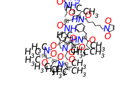 CC[C@H](C)[C@@H](C(CC(=O)N1CCC[C@H]1[C@H](OC)[C@@H](C)C(=O)N[C@@H](Cc1ccccc1)C(=O)CC(C)(C)C)OC)N(C)C(=O)[C@@H](CC(=O)[C@H](C(C)C)N(C)C(=O)OCc1ccc(NC(=O)[C@H](CCCNC(N)=O)CC(=O)[C@@H](NC(=O)CCCCCN2C(=O)C=CC2=O)C(C)C)cc1)C(C)C